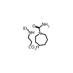 CCNCCC(=O)O.NC(=O)N1CCCCCC1